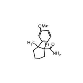 CCC1(C(N)=O)CCCCC1(C)c1cccc(OC)c1